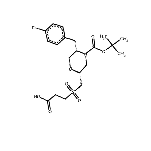 CC(C)(C)OC(=O)N1C[C@H](CS(=O)(=O)CCC(=O)O)OC[C@@H]1Cc1ccc(Cl)cc1